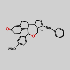 CSc1ccc(C2OC[C@]3(C)C(C#Cc4ccccc4)=CCC3C3CCC4=CC(=O)CCC4=C23)cc1